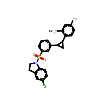 N#Cc1ccc(C2CC2c2cccc(S(=O)(=O)N3CCc4cc(Cl)ccc43)c2)c(C(=O)O)c1